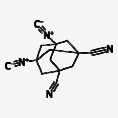 [C-]#[N+]C12CC3(C#N)CC(C#N)(C1)CC([N+]#[C-])(C3)C2